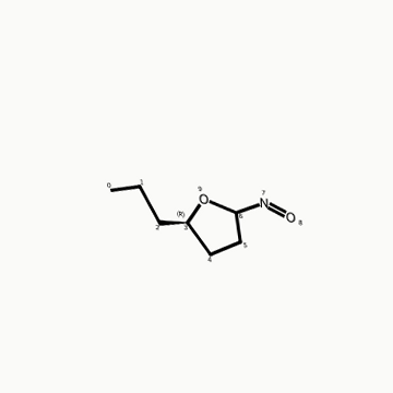 CCC[C@@H]1CCC(N=O)O1